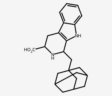 O=C(O)C1Cc2c([nH]c3ccccc23)C(CC23CC4CC(CC(C4)C2)C3)N1